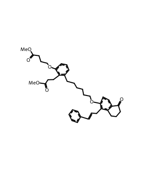 COC(=O)CCCOc1cccc(CCCCCCOc2ccc3c(c2C/C=C/c2ccccc2)CCCC3=O)c1CCC(=O)OC